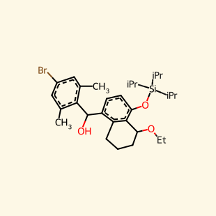 CCOC1CCCc2c(C(O)c3c(C)cc(Br)cc3C)ccc(O[Si](C(C)C)(C(C)C)C(C)C)c21